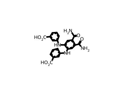 NC(=O)c1cc(Nc2cccc(C(=O)O)c2)c(Nc2cccc(C(=O)O)c2)cc1C(N)=O